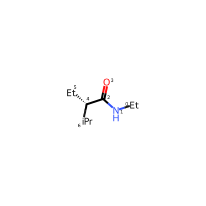 CCNC(=O)[C@@H](CC)C(C)C